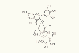 O=c1c(O[C@@H]2OC(CO)[C@@H](O[C@@H]3O[C@H](CO)[C@H](O)[C@H](O)[C@H]3O)[C@H](O)[C@H]2O)c(-c2cc(O)c(O)c(O)c2)oc2cc(O)cc(O)c12